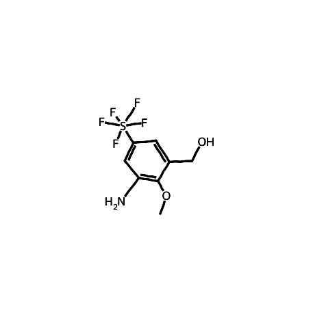 COc1c(N)cc(S(F)(F)(F)(F)F)cc1CO